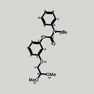 CCC(C)N(C(=O)Oc1cccc(OCC(OC)OC)c1)c1ccccc1